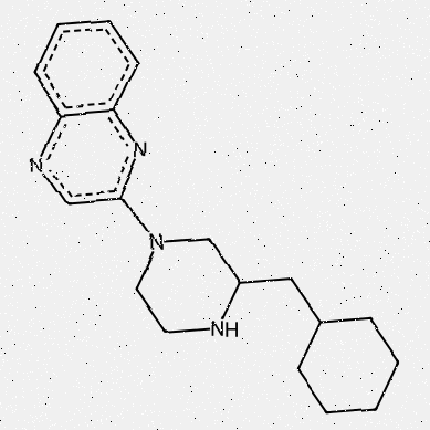 c1ccc2nc(N3CCNC(CC4CCCCC4)C3)cnc2c1